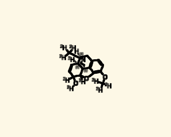 [2H]OC1([2H])C=C[C@@]2([2H])[C@H]3Cc4ccc(OC([2H])([2H])[2H])c5c4[C@@]2(CCN3C([2H])([2H])[2H])C1([2H])O5